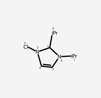 CC(C)C1N(Cl)C=CN1C(C)C